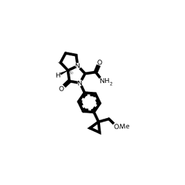 COCC1(c2ccc(N3C(=O)[C@@H]4[CH]CCN4C3C(N)=O)cc2)CC1